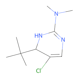 CN(C)C1=NC=C(Cl)C(C(C)(C)C)N1